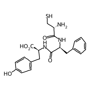 N[C@@H](CS)C(=O)N[C@@H](Cc1ccccc1)C(=O)N[C@@H](Cc1ccc(O)cc1)C(=O)O